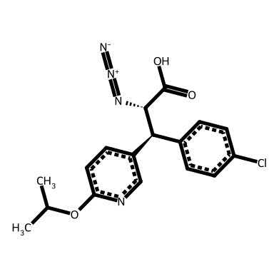 CC(C)Oc1ccc([C@H](c2ccc(Cl)cc2)[C@H](N=[N+]=[N-])C(=O)O)cn1